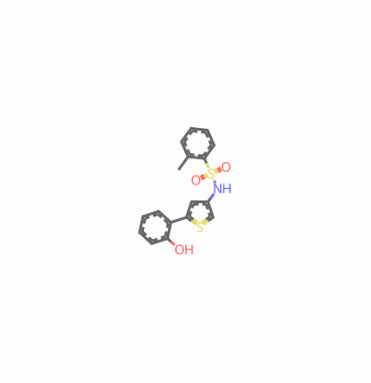 Cc1ccccc1S(=O)(=O)Nc1csc(-c2ccccc2O)c1